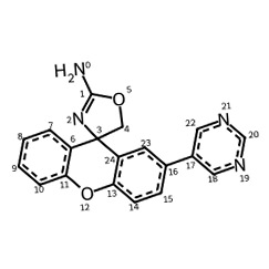 NC1=NC2(CO1)c1ccccc1Oc1ccc(-c3cncnc3)cc12